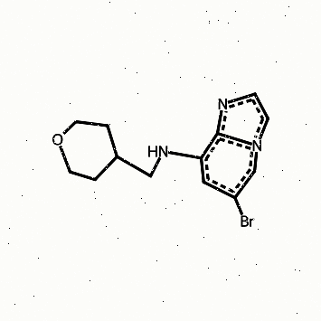 Brc1cc(NCC2CCOCC2)c2nccn2c1